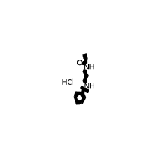 C=CC(=O)NCCCNC(C)(C)c1ccccc1.Cl